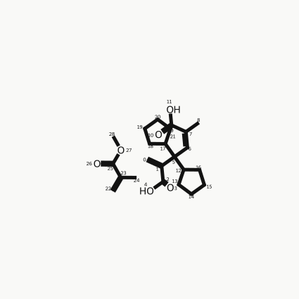 C=C(C(=O)O)C(C=C(C)C(=O)O)(C1CCCC1)C1CCCC1.C=C(C)C(=O)OC